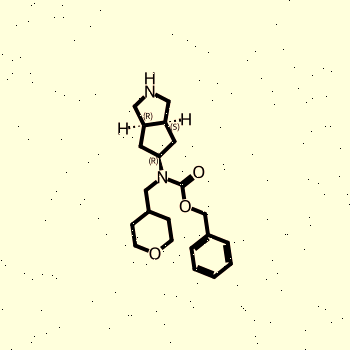 O=C(OCc1ccccc1)N(CC1CCOCC1)[C@H]1C[C@H]2CNC[C@H]2C1